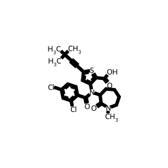 CN1CCCCC(N(C(=O)c2ccc(Cl)cc2Cl)c2cc(C#CC(C)(C)C)sc2C(=O)O)C1=O